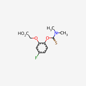 CN(C)C(=S)Oc1ccc(F)cc1OCC(=O)O